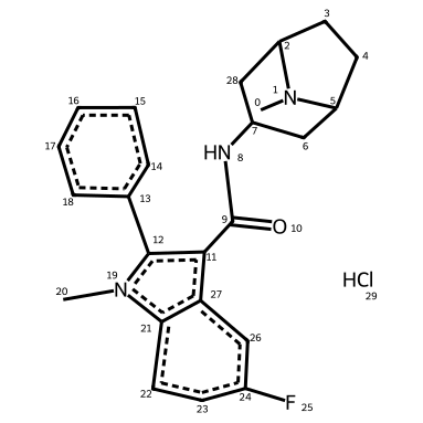 CN1C2CCC1CC(NC(=O)c1c(-c3ccccc3)n(C)c3ccc(F)cc13)C2.Cl